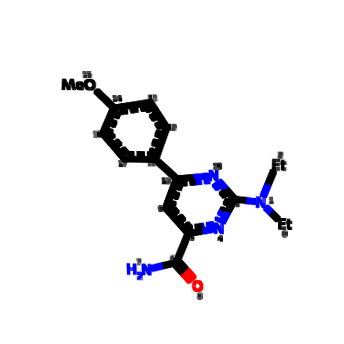 CCN(CC)c1nc(C(N)=O)cc(-c2ccc(OC)cc2)n1